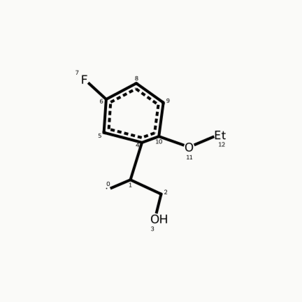 [CH2]C(CO)c1cc(F)ccc1OCC